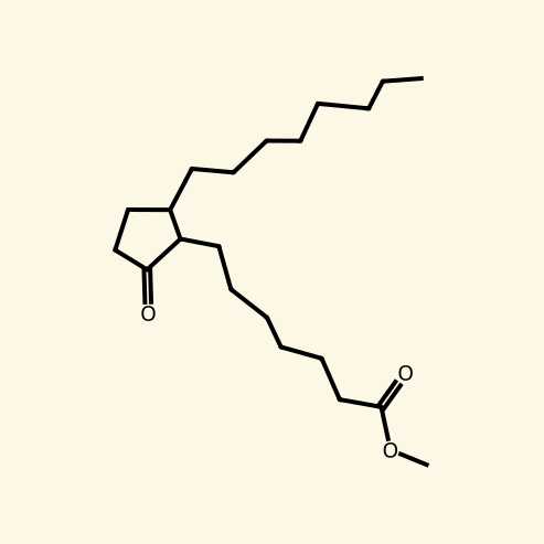 CCCCCCCCC1CCC(=O)C1CCCCCCC(=O)OC